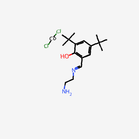 CC(C)(C)c1cc(C=NCCN)c(O)c(C(C)(C)C)c1.[Cl][Co][Cl]